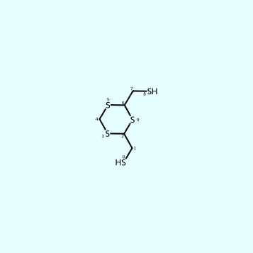 SCC1SCSC(CS)S1